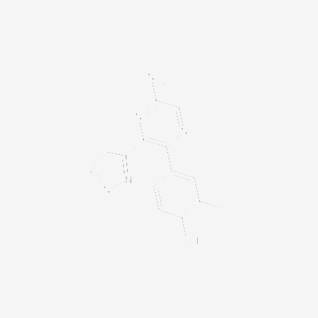 Nc1cnc(-c2ccc(O)c(Cl)c2)c(-c2nncs2)n1